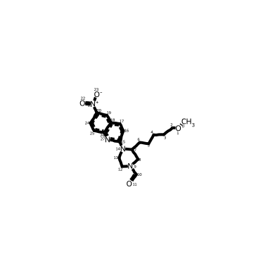 COCCCCCC1CN(C=O)CCN1c1ccc2cc([N+](=O)[O-])ccc2n1